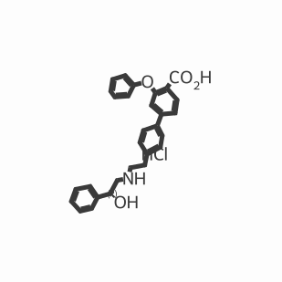 Cl.O=C(O)c1ccc(-c2ccc(CCNC[C@H](O)c3ccccc3)cc2)cc1Oc1ccccc1